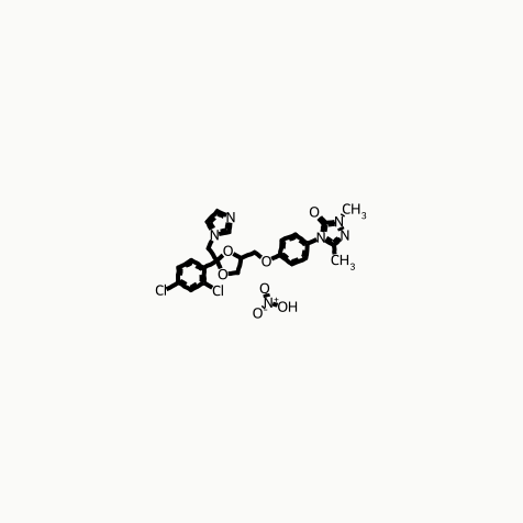 Cc1nn(C)c(=O)n1-c1ccc(OCC2COC(Cn3ccnc3)(c3ccc(Cl)cc3Cl)O2)cc1.O=[N+]([O-])O